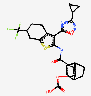 O=C(O)OC1=C(C(=O)Nc2sc3c(c2-c2nc(C4CC4)no2)CC[C@H](C(F)(F)F)C3)C2CCC1CC2